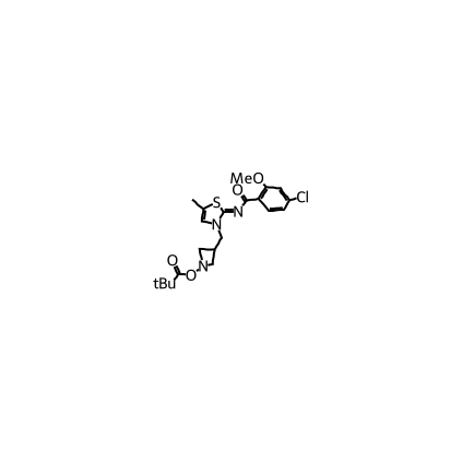 COc1cc(Cl)ccc1C(=O)/N=c1\sc(C)cn1CC1CN(OC(=O)C(C)(C)C)C1